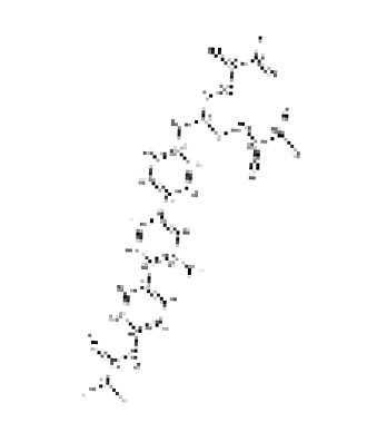 C=C(C)C(=O)OCC(COC(=O)C(=C)C)Cc1ccc(-c2ccc(-c3ccc(OC(=O)C(C)C)cc3)c(F)c2)cc1